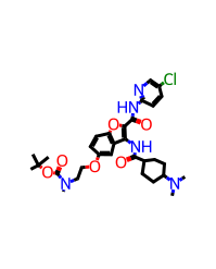 CN(CCOc1ccc2oc(C(=O)Nc3ccc(Cl)cn3)c(NC(=O)C3CCC(N(C)C)CC3)c2c1)C(=O)OC(C)(C)C